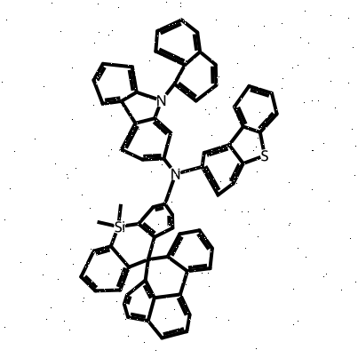 C[Si]1(C)c2ccccc2C2(c3ccccc3-c3cccc4cccc2c34)c2ccc(N(c3ccc4sc5ccccc5c4c3)c3ccc4c5ccccc5n(-c5cccc6ccccc56)c4c3)cc21